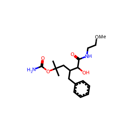 COCCNC(=O)C(O)C(Cc1ccccc1)CC(C)(C)OC(N)=O